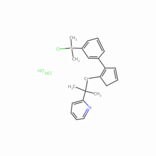 C[C](C)([Cr][C]1=C(c2cccc([Si](C)(C)Cl)c2)C=CC1)c1ccccn1.Cl.Cl